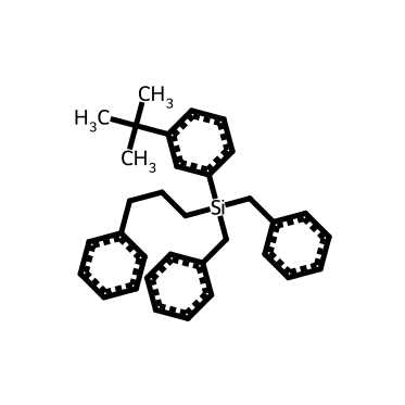 CC(C)(C)c1cccc([Si](CCCc2ccccc2)(Cc2ccccc2)Cc2ccccc2)c1